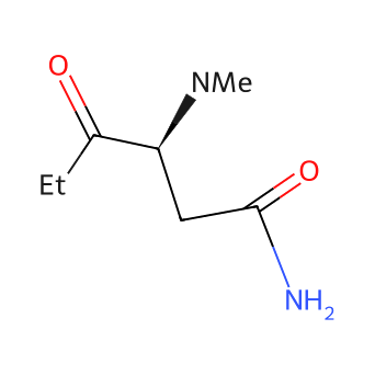 CCC(=O)[C@H](CC(N)=O)NC